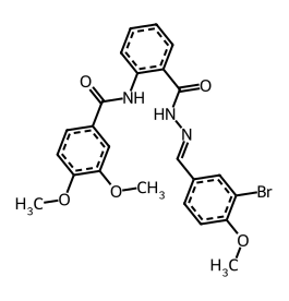 COc1ccc(/C=N/NC(=O)c2ccccc2NC(=O)c2ccc(OC)c(OC)c2)cc1Br